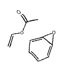 C=COC(C)=O.c1ccc2c(c1)O2